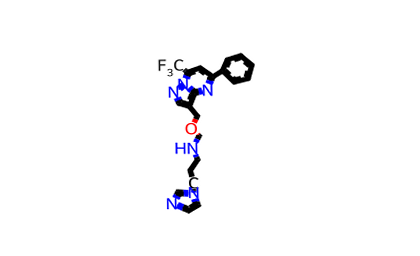 FC(F)(F)c1cc(-c2ccccc2)nc2c(COCNCCCn3ccnc3)cnn12